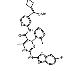 COC(=C1CCC1)c1ccnc(NC(=O)C2=C(C)NC(Nc3nc4ccc(F)cc4o3)=NC2c2ccccc2C)c1